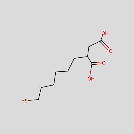 O=C(O)CC(CCCCCCS)C(=O)O